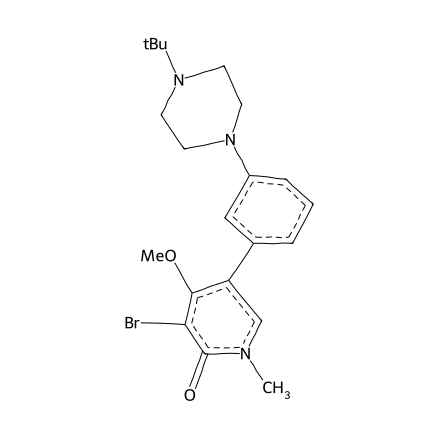 COc1c(-c2cccc(N3CCN(C(C)(C)C)CC3)c2)cn(C)c(=O)c1Br